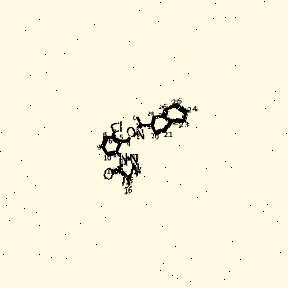 CC(=NOCc1c(Cl)cccc1-n1nnn(C)c1=O)c1ccc2ccccc2c1